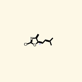 C=c1nc(Cl)o/c1=C/C=C(C)C